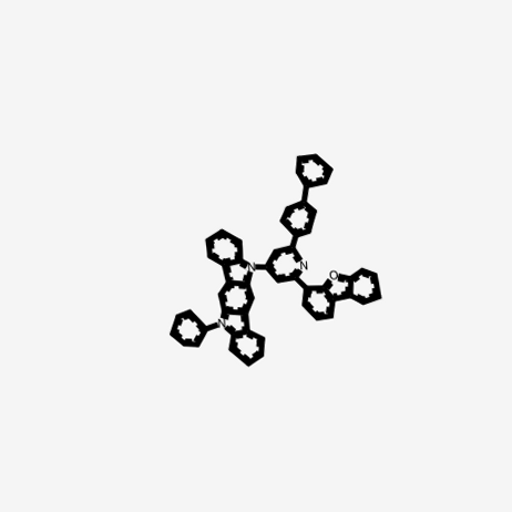 c1ccc(-c2ccc(-c3cc(-n4c5ccccc5c5cc6c(cc54)c4ccccc4n6-c4ccccc4)cc(-c4cccc5c4oc4ccccc45)n3)cc2)cc1